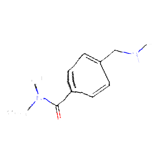 CCNCc1ccc(C(=O)N(C)OC)cc1